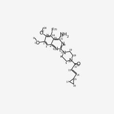 COc1cc2nc(N3CCN(C(=O)C=CC4CC4)CC3)nc(N)c2c(F)c1OC